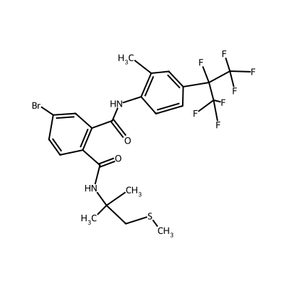 CSCC(C)(C)NC(=O)c1ccc(Br)cc1C(=O)Nc1ccc(C(F)(C(F)(F)F)C(F)(F)F)cc1C